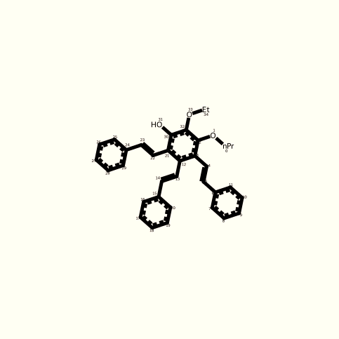 CCCOc1c(C=Cc2ccccc2)c(C=Cc2ccccc2)c(C=Cc2ccccc2)c(O)c1OCC